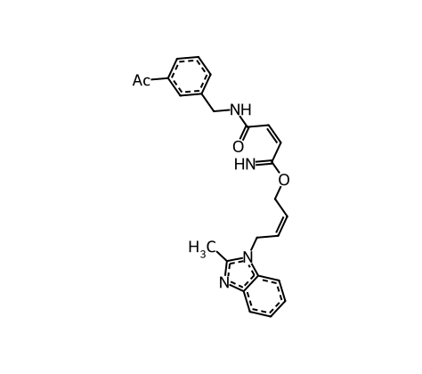 CC(=O)c1cccc(CNC(=O)/C=C\C(=N)OC/C=C\Cn2c(C)nc3ccccc32)c1